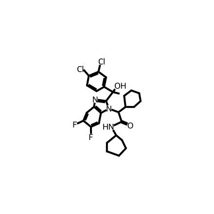 CC(O)(c1ccc(Cl)c(Cl)c1)c1nc2cc(F)c(F)cc2n1C(C(=O)NC1CCCCC1)C1CCCCC1